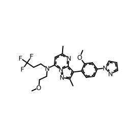 COCCN(CCC(F)(F)F)c1cc(C)nc2c(-c3ccc(-n4cccn4)cc3OC)c(C)nn12